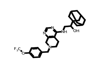 OC(CNc1ncnc2c1CCN(Cc1ccc(OC(F)(F)F)cc1)C2)C12CC3CC(CC(C3)C1)C2